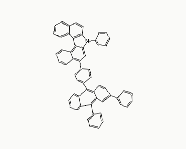 c1ccc(-c2ccc3c(-c4ccc(-c5cc6c(c7ccccc57)c5c7ccccc7ccc5n6-c5ccccc5)cc4)c4ccccc4c(-c4ccccc4)c3c2)cc1